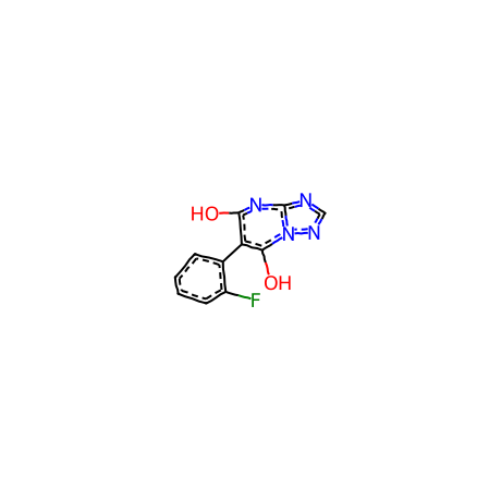 Oc1nc2ncnn2c(O)c1-c1ccccc1F